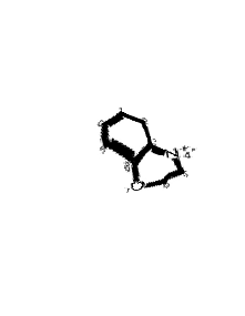 C1=CCC2=[N+]CCOC2=C1